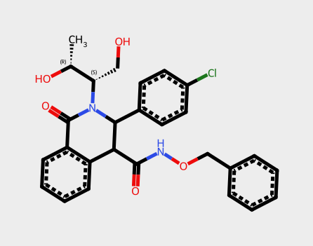 C[C@@H](O)[C@H](CO)N1C(=O)c2ccccc2C(C(=O)NOCc2ccccc2)C1c1ccc(Cl)cc1